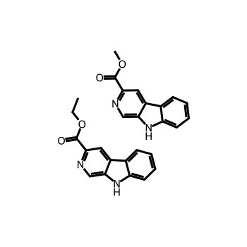 CCOC(=O)c1cc2c(cn1)[nH]c1ccccc12.COC(=O)c1cc2c(cn1)[nH]c1ccccc12